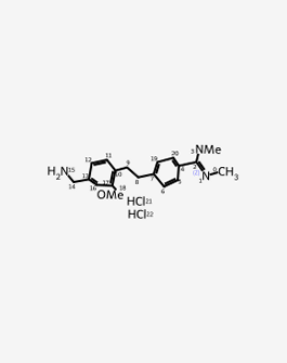 C/N=C(\NC)c1ccc(CCc2ccc(CN)cc2OC)cc1.Cl.Cl